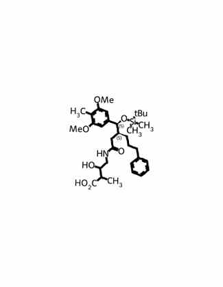 COc1cc([C@@H](O[Si](C)(C)C(C)(C)C)[C@@H](CCCc2ccccc2)CC(=O)NCC(O)C(C)C(=O)O)cc(OC)c1C